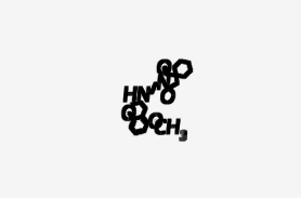 COc1cccc2c1CC(NCCN1C(=O)CC3(CCCCC3)C1=O)CO2